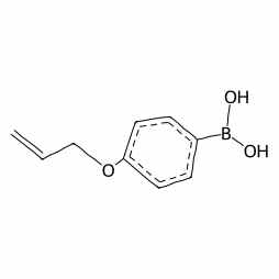 C=CCOc1ccc(B(O)O)cc1